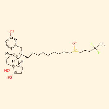 [O-][S+](CCCCCCCCC[C@@H]1Cc2cc(O)ccc2[C@H]2CC[C@]3(O)[C@@H](O)CC[C@H]3[C@H]12)CCCC(F)(F)C(F)(F)F